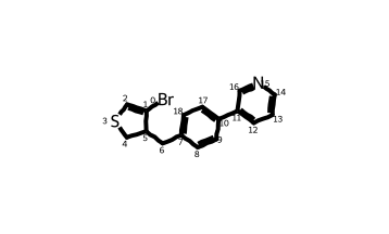 BrC1=CSCC1Cc1ccc(-c2cccnc2)cc1